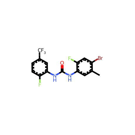 Cc1cc(NC(=O)Nc2cc(C(F)(F)F)ccc2F)c(F)cc1Br